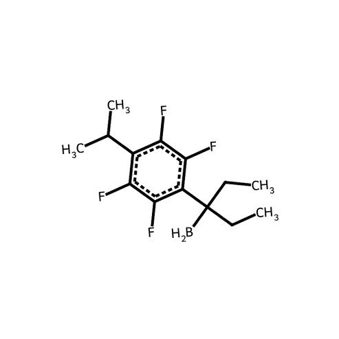 BC(CC)(CC)c1c(F)c(F)c(C(C)C)c(F)c1F